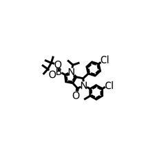 Cc1ccc(Cl)cc1N1C(=O)c2cc(B3OC(C)(C)C(C)(C)O3)n(C(C)C)c2C1c1ccc(Cl)cc1